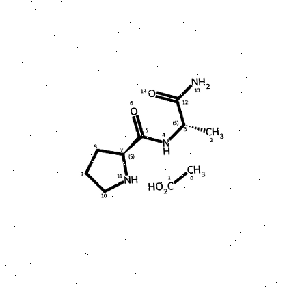 CC(=O)O.C[C@H](NC(=O)[C@@H]1CCCN1)C(N)=O